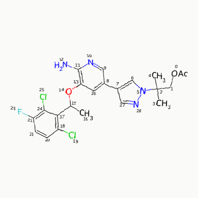 CC(=O)OCC(C)(C)n1cc(-c2cnc(N)c(OC(C)c3c(Cl)ccc(F)c3Cl)c2)cn1